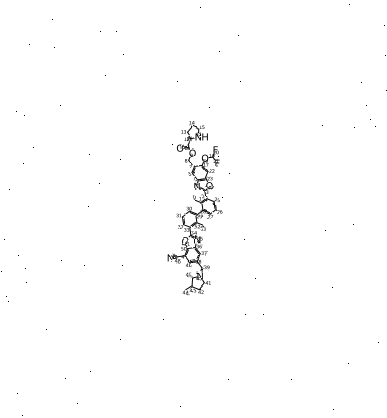 Cc1c(-c2nc3cc(COC(=O)[C@H]4CCCN4)c(OC(F)F)cc3o2)cccc1-c1cccc(-c2nc3cc(CN4CCC(C)C4)cc(C#N)c3o2)c1C